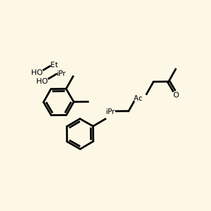 CC(=O)CC(C)C.CC(C)O.CCC(C)=O.CCO.Cc1ccccc1.Cc1ccccc1C